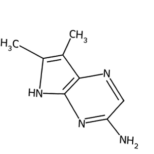 Cc1[nH]c2nc(N)cnc2c1C